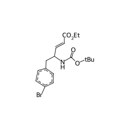 CCOC(=O)/C=C/C(Cc1ccc(Br)cc1)NC(=O)OC(C)(C)C